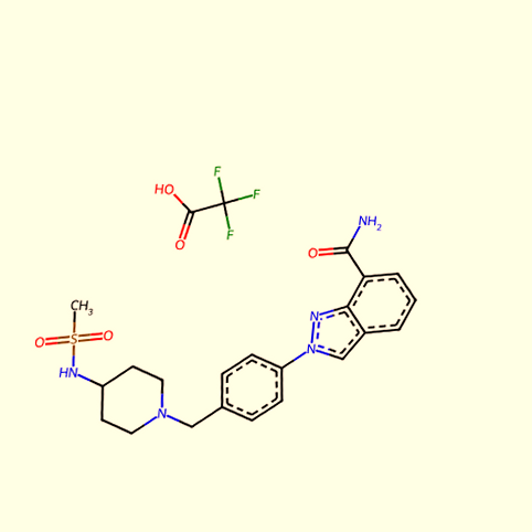 CS(=O)(=O)NC1CCN(Cc2ccc(-n3cc4cccc(C(N)=O)c4n3)cc2)CC1.O=C(O)C(F)(F)F